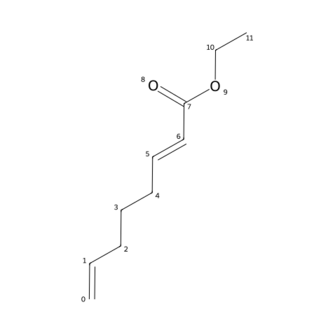 C=CCCCC=CC(=O)OCC